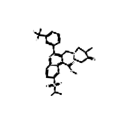 COC(=O)c1c(CN2CCC(=O)C(C)C2)c(-c2cccc(C(F)(F)F)c2)nc2ccc(S(=O)(=O)C(C)C)cc12